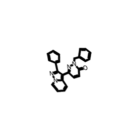 O=c1ccc(-c2c(-c3ccccc3)nn3ccccc23)nn1Cc1ccccc1